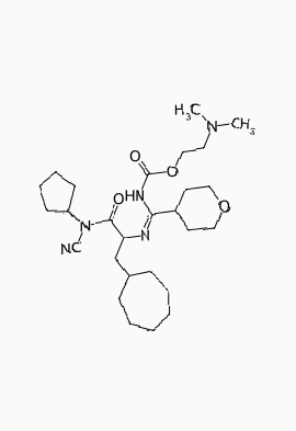 CN(C)CCOC(=O)NC(=NC(CC1CCCCCC1)C(=O)N(C#N)C1CCCC1)C1CCOCC1